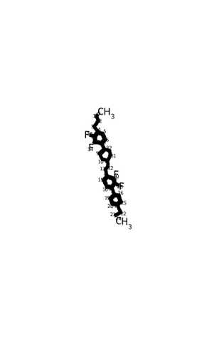 CCCCc1ccc(C2=CCC(CCc3ccc(-c4ccc(CCC)cc4)c(F)c3F)CC2)c(F)c1F